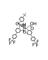 CC(C)(C)c1ccc(C(=O)Nc2ccc(-c3ccc(C(F)(F)F)cc3)cc2C(=O)NC(CC(=O)O)c2ccc(-c3ccc(C(F)(F)F)cc3)cc2)cc1